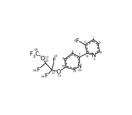 Fc1cccnc1-c1ccc(OC(F)(F)C(F)OC(F)(F)F)cn1